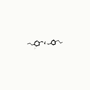 CCCc1ccc(/C=N/N=C/c2ccc(CCC)c(F)c2)cc1